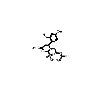 COc1ccc(C2=CC(=O)NC(S(=O)(=O)O)N2CCN=C(N)N)c(OC)c1.Cl